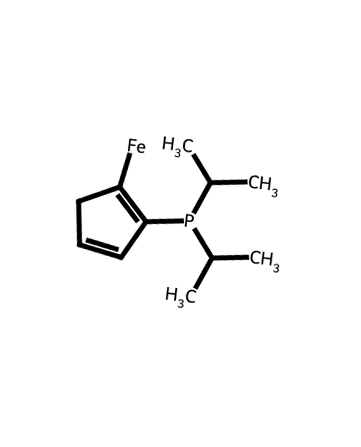 CC(C)P(C1=[C]([Fe])CC=C1)C(C)C